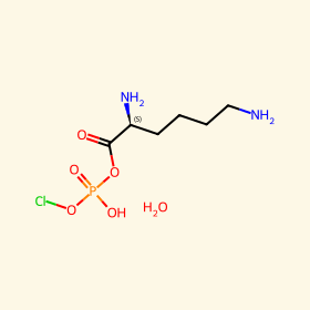 NCCCC[C@H](N)C(=O)OP(=O)(O)OCl.O